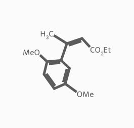 CCOC(=O)/C=C(/C)c1cc(OC)ccc1OC